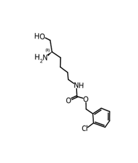 N[C@@H](CO)CCCCNC(=O)OCc1ccccc1Cl